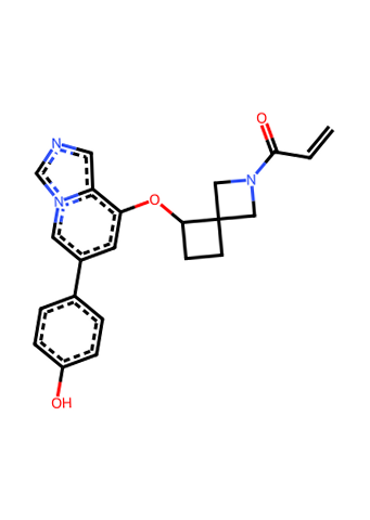 C=CC(=O)N1CC2(CCC2Oc2cc(-c3ccc(O)cc3)cn3cncc23)C1